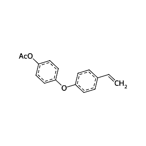 C=Cc1ccc(Oc2ccc(OC(C)=O)cc2)cc1